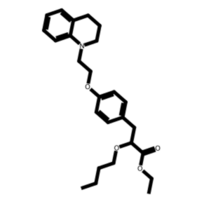 CCCCOC(Cc1ccc(OCCN2CCCc3ccccc32)cc1)C(=O)OCC